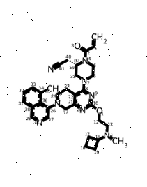 C=CC(=O)N1CCN(c2nc(OCCN(C)C3CCC3)nc3c2CCN(c2cncc4cccc(C)c24)C3)C[C@@H]1CC#N